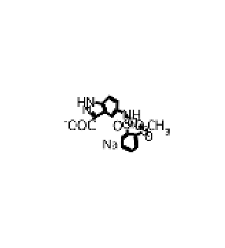 CS(=O)(=O)c1ccccc1S(=O)(=O)Nc1ccc2[nH]nc(C(=O)[O-])c2c1.[Na+]